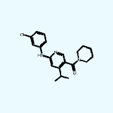 CC(C)c1cc(Nc2cccc(Cl)c2)ncc1C(=O)N1CCCCC1